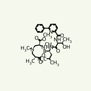 COC(=O)[C@@H]1CN(C)C[C@@H](C)C(=O)OB([C@H](CC(C)C)NC(=O)[C@@H](NC(=O)c2cccc(-c3ccccc3)n2)[C@@H](C)O)N1C